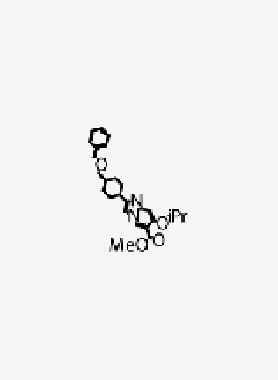 COC(=O)c1cn2cc(C3CCC(COCc4ccccc4)CC3)nc2cc1OC(C)C